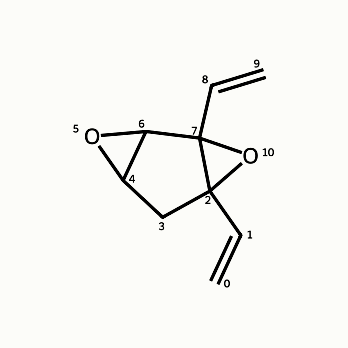 C=CC12CC3OC3C1(C=C)O2